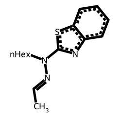 C/C=N/N(CCCCCC)c1nc2ccccc2s1